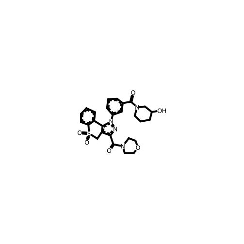 O=C(c1cccc(-n2nc(C(=O)N3CCOCC3)c3c2-c2ccccc2S(=O)(=O)C3)c1)N1CCCC(O)C1